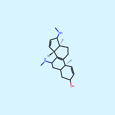 CNC1CC2CC(O)C=C[C@]2(C)C2=C1[C@@H]1C=CC(NC)[C@@]1(C)CC2